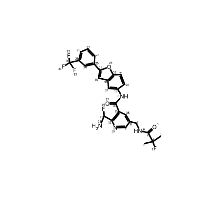 CC(C)(F)C(=O)NCc1cnc(C(N)F)c(C(=O)Nc2ccc3oc(-c4cccc(C(F)(F)F)c4)cc3c2)c1